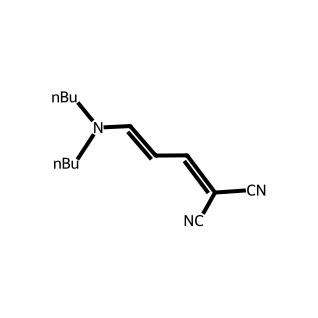 CCCCN(C=CC=C(C#N)C#N)CCCC